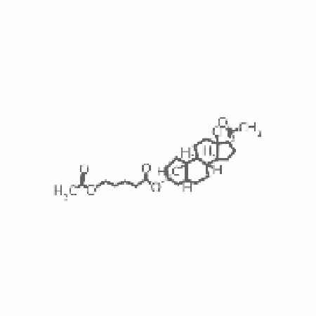 CC(=O)OCCCCC(=O)O[C@@H]1CC[C@@]2(C)[C@@H](CC[C@@H]3[C@@H]2CC[C@]2(C)[C@@H](C(C)=O)CC[C@@H]32)C1